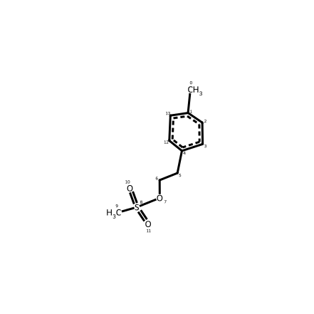 Cc1ccc(CCOS(C)(=O)=O)cc1